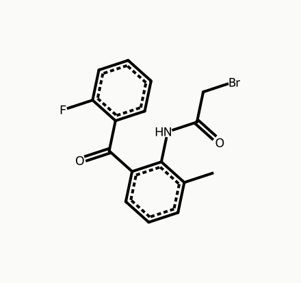 Cc1cccc(C(=O)c2ccccc2F)c1NC(=O)CBr